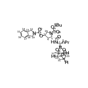 CCC[C@H](NC(=O)[C@@H]1C[C@@H](OC(=O)N2Cc3ccccc3C2)CN1C(=O)OC(C)(C)C)B1O[C@@H]2C[C@@H]3C[C@@H](C3(C)C)[C@]2(C)O1